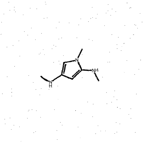 CNc1cc(NC)n(C)c1